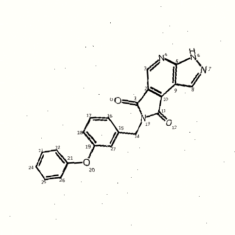 O=C1c2cnc3[nH]ncc3c2C(=O)N1Cc1cccc(Oc2ccccc2)c1